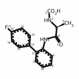 C[C@H](NC(=O)O)C(=O)Nc1ccccc1-c1ccc(F)cc1